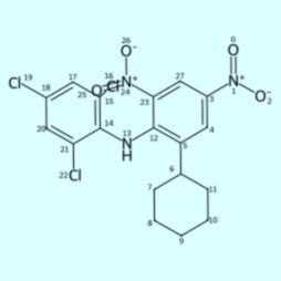 O=[N+]([O-])c1cc(C2CCCCC2)c(Nc2c(Cl)cc(Cl)cc2Cl)c([N+](=O)[O-])c1